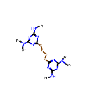 CC(C)Nc1nc(SSSSc2nc(NC(C)C)nc(N(C(C)C)C(C)C)n2)nc(N(C(C)C)C(C)C)n1